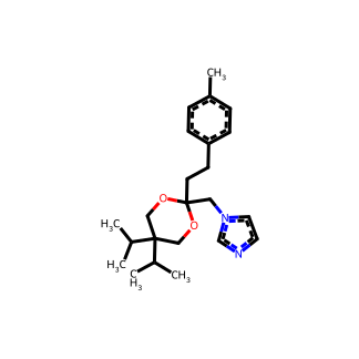 Cc1ccc(CCC2(Cn3ccnc3)OCC(C(C)C)(C(C)C)CO2)cc1